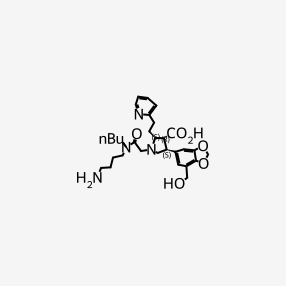 CCCCN(CCCCN)C(=O)CN1C[C@H](c2cc(CO)c3c(c2)OCO3)[C@@H](C(=O)O)[C@@H]1CCc1ccccn1